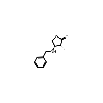 C[C@H]1C(=O)OC[C@@H]1NCc1ccccc1